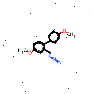 COc1ccc(-c2ccc(OC)cc2CN=[N+]=[N-])cc1